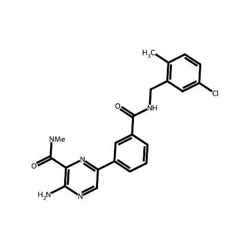 CNC(=O)c1nc(-c2cccc(C(=O)NCc3cc(Cl)ccc3C)c2)cnc1N